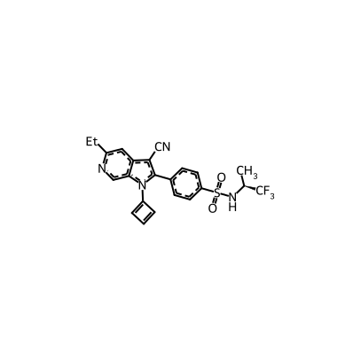 CCc1cc2c(C#N)c(-c3ccc(S(=O)(=O)N[C@@H](C)C(F)(F)F)cc3)n(C3=CC=C3)c2cn1